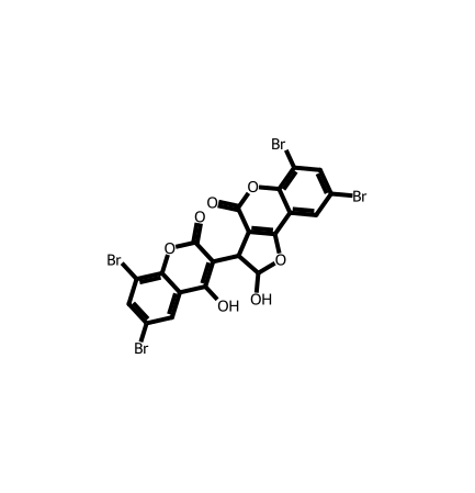 O=c1oc2c(Br)cc(Br)cc2c(O)c1C1c2c(c3cc(Br)cc(Br)c3oc2=O)OC1O